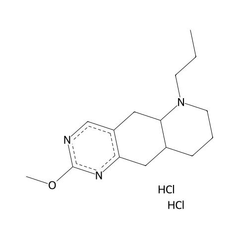 CCCN1CCCC2Cc3nc(OC)ncc3CC21.Cl.Cl